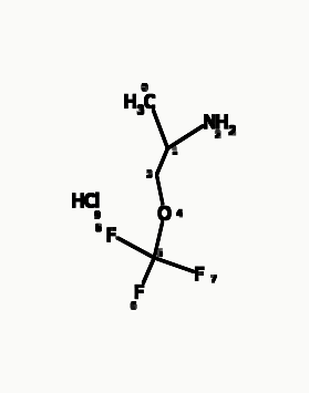 CC(N)COC(F)(F)F.Cl